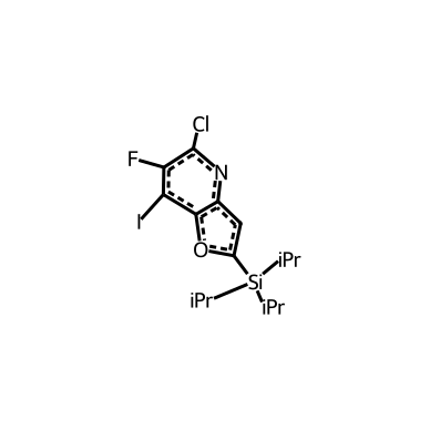 CC(C)[Si](c1cc2nc(Cl)c(F)c(I)c2o1)(C(C)C)C(C)C